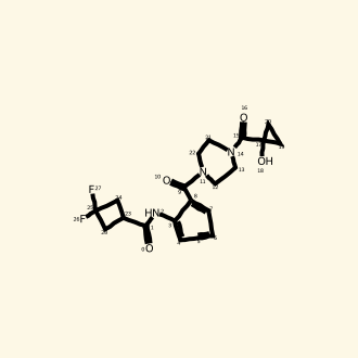 O=C(Nc1ccccc1C(=O)N1CCN(C(=O)C2(O)CC2)CC1)C1CC(F)(F)C1